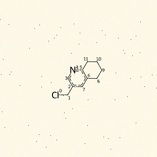 ClCc1cnc2c(c1)CCCC2